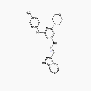 Cc1ccc(Nc2nc(N/N=C/c3c[nH]c4ccccc34)nc(N3CCOCC3)n2)nc1